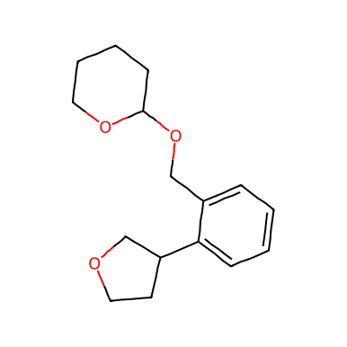 c1ccc(C2CCOC2)c(COC2CCCCO2)c1